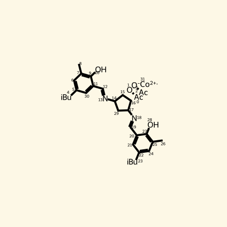 CC(=O)[O-].CC(=O)[O-].CCC(C)c1cc(C)c(O)c(C=NC2CCC(N=Cc3cc(C(C)CC)cc(C)c3O)C2)c1.[Co+2]